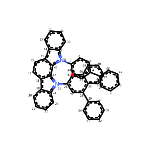 c1ccc(-c2ccc(-n3c4ccccc4c4ccc5c6ccccc6n(-c6cc(-c7ccccc7)c7ccccc7c6)c5c43)cc2)cc1